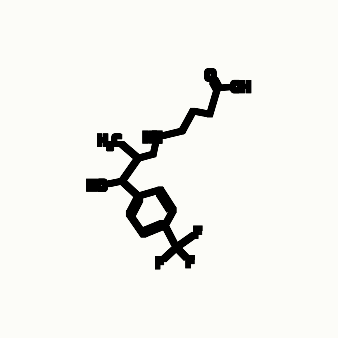 CC(CNCCCC(=O)O)C(O)c1ccc(C(F)(F)F)cc1